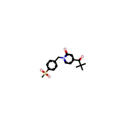 CC(C)(C)C(=O)c1ccn(Cc2ccc(S(C)(=O)=O)cc2)c(=O)c1